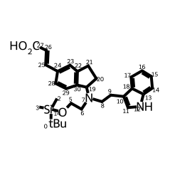 CC(C)(C)[Si](C)(C)OCCN(CCc1c[nH]c2ccccc12)C1CCc2cc(C=CC(=O)O)ccc21